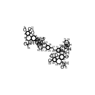 COc1cc2c(c(OC)c1OC)-c1ccc(NNC(=S)N(Cc3cccc(CCc4cccc(CN(C(=S)NNc5ccc6c(cc5=O)[C@@H](NC(C)=O)CCc5cc(OC)c(OC)c(OC)c5-6)[C@]56CC7CC(C[C@H](C7)C5)C6)c4)c3)[C@]34CC5CC(C[C@H](C5)C3)C4)c(=O)cc1[C@@H](NC(C)=O)CC2